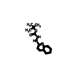 CC(C)(C)OC(=O)NNc1ccc2ccccc2n1